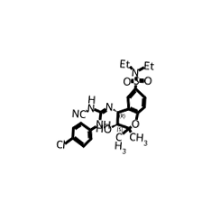 CCN(CC)S(=O)(=O)c1ccc2c(c1)[C@@H](N=C(NC#N)Nc1ccc(Cl)cc1)[C@H](O)C(C)(C)O2